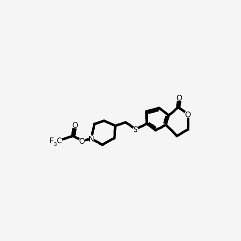 O=C1OCCc2cc(SCC3CCN(OC(=O)C(F)(F)F)CC3)ccc21